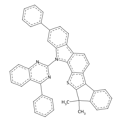 CC1(C)c2ccccc2-c2c1sc1c2ccc2c3ccc(-c4ccccc4)cc3n(-c3nc(-c4ccccc4)c4ccccc4n3)c21